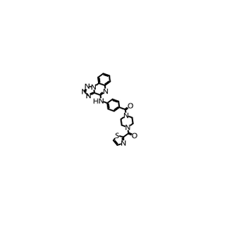 O=C(c1ccc(Nc2nc3ccccc3n3nnnc23)cc1)N1CCN(C(=O)c2nccs2)CC1